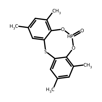 Cc1cc(C)c2c(c1)Sc1cc(C)cc(C)c1O[PH](=O)O2